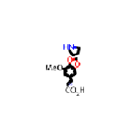 C1CCNC1.COc1cc(/C=C/C(=O)O)cc2c1OCO2